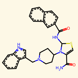 NC(=O)C1=CSC(NC(=O)c2ccc3ccccc3c2)N1C1CCN(Cc2c[nH]c3ccccc23)CC1